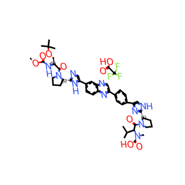 COC(=O)N[C@@H](COC(C)(C)C)C(=O)N1CCC[C@H]1c1ncc(-c2ccc3nc(-c4ccc(-c5c[nH]c([C@@H]6CCCN6C(=O)C(C(C)C)N(C)C(=O)O)n5)cc4)cnc3c2)[nH]1.O=C(O)C(F)(F)F